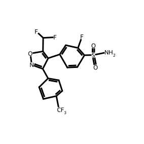 NS(=O)(=O)c1ccc(-c2c(-c3ccc(C(F)(F)F)cc3)noc2C(F)F)cc1F